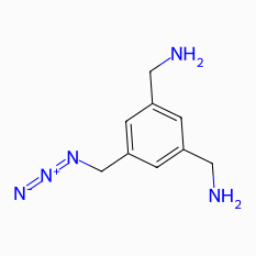 [N-]=[N+]=NCc1cc(CN)cc(CN)c1